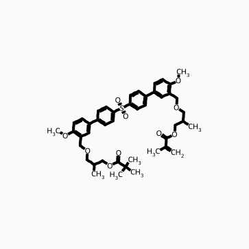 C=C(C)C(=O)OCC(C)COCc1cc(-c2ccc(S(=O)(=O)c3ccc(-c4ccc(OC)c(COCC(C)COC(=O)C(C)(C)C)c4)cc3)cc2)ccc1OC